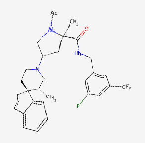 CC(=O)N1CC(N2CC[C@@]3(C=Cc4ccccc43)[C@@H](C)C2)CC1(C)C(=O)NCc1cc(F)cc(C(F)(F)F)c1